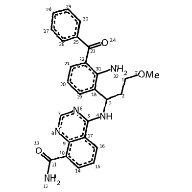 COCCC(Nc1ncnc2c(C(N)=O)cccc12)c1cccc(C(=O)c2ccccc2)c1N